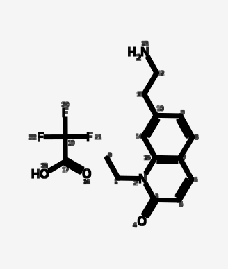 CCn1c(=O)ccc2ccc(CCN)cc21.O=C(O)C(F)(F)F